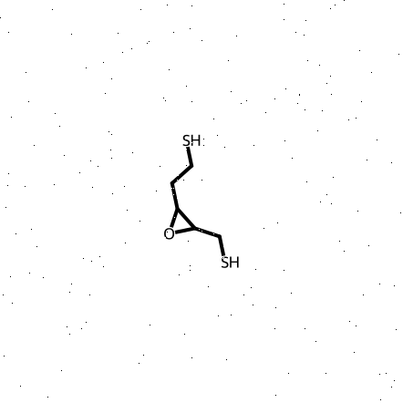 SCCC1OC1CS